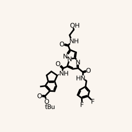 Cc1c(C(=O)OC(C)(C)C)ccc2c1CC[C@@H]2NC(=O)c1cc(C(=O)NCc2ccc(F)c(F)c2)nc2cc(C(=O)NCCO)nn12